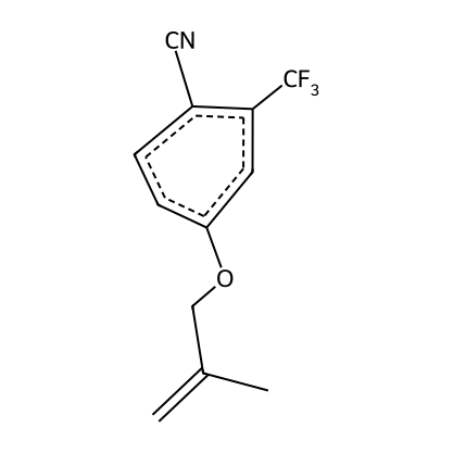 C=C(C)COc1ccc(C#N)c(C(F)(F)F)c1